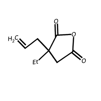 C=CCC1(CC)CC(=O)OC1=O